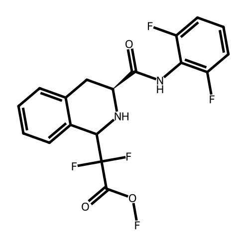 O=C(Nc1c(F)cccc1F)[C@@H]1Cc2ccccc2C(C(F)(F)C(=O)OF)N1